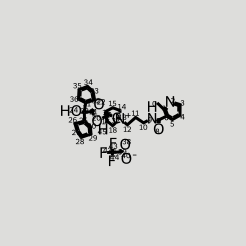 Cc1ncccc1C(=O)NCCC[N+]12CCC(CC1)[C@@H](OC(=O)C(O)(c1ccccc1)c1ccccc1)C2.O=C([O-])C(F)(F)F